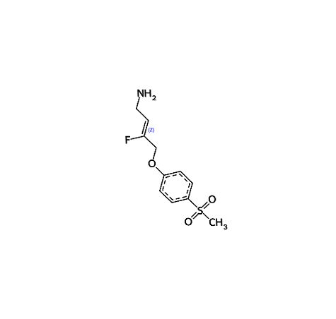 CS(=O)(=O)c1ccc(OC/C(F)=C/CN)cc1